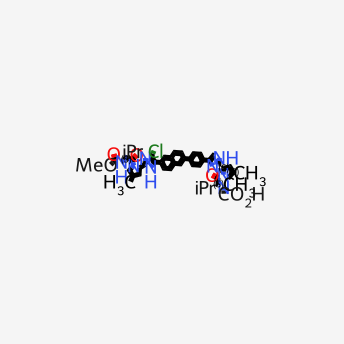 COC(=O)N[C@H](C(=O)N1CC(C)CC1c1nc(Cl)c(-c2ccc3cc(-c4ccc(-c5c[nH]c([C@@H]6C[C@H](C)CN6C(=O)[C@H](C(C)C)N(C)C(=O)O)n5)cc4)ccc3c2)[nH]1)C(C)C